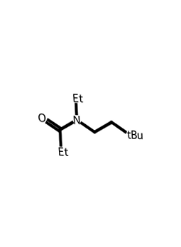 [CH2]CC(=O)N(CC)CCC(C)(C)C